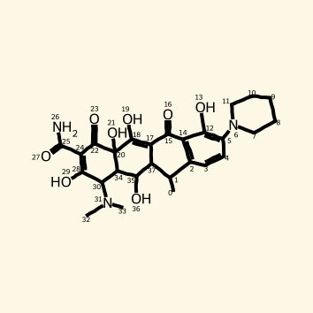 CC1c2ccc(N3CCCCC3)c(O)c2C(=O)C2=C(O)C3(O)C(=O)C(C(N)=O)=C(O)C(N(C)C)C3C(O)C21